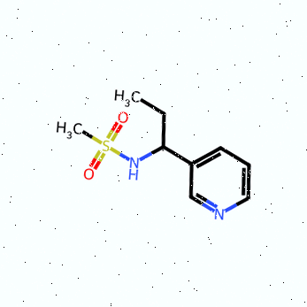 CC[C](NS(C)(=O)=O)c1cccnc1